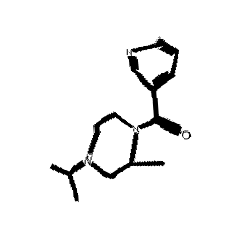 CC(C)N1CCN(C(=O)c2cccnc2)C(C)C1